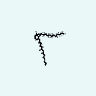 CCCCCCCCCCCCCCC1CCCC(C)(CCCCCCCCCCCCCC)C1